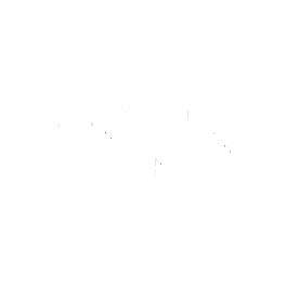 CC1CN(C(=O)OC(C)(C)C)C(=O)c2cc(-c3ccnc(O)c3F)[nH]c21